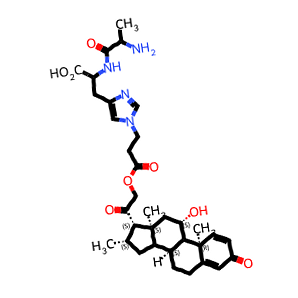 CC(N)C(=O)NC(Cc1cn(CCC(=O)OCC(=O)[C@H]2[C@@H](C)CC3[C@@H]4CCC5=CC(=O)C=C[C@]5(C)C4[C@@H](O)C[C@@]32C)cn1)C(=O)O